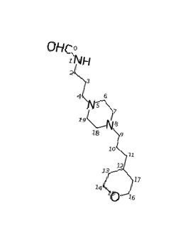 O=CNCCCN1CCN(CCCC2CCOCC2)CC1